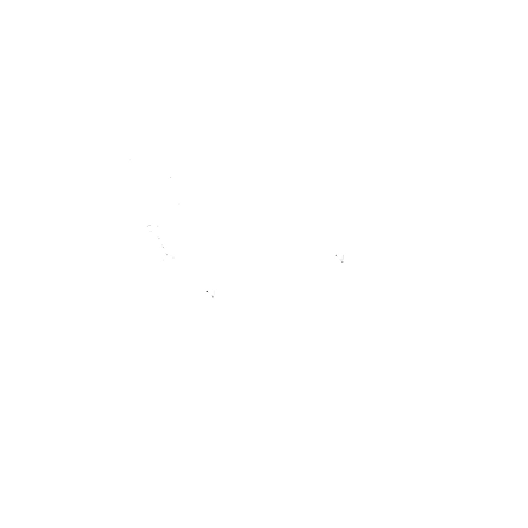 c1ccc(-c2cccc3cccc(-c4ccc(N(c5cccc(-n6c7ccccc7c7ccccc76)c5)c5cc6ccccc6c6ccccc56)cc4)c23)cc1